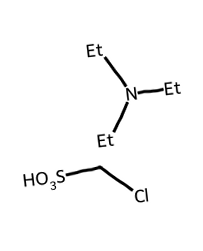 CCN(CC)CC.O=S(=O)(O)CCl